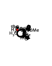 COc1cnc(O[C@@H]2C[C@H]3C(=O)N[C@]4(C(=O)NS(=O)(=O)C5(CF)CC5)C[C@H]4CCCCC(C)C[C@@H](C)[C@H](NC(=O)OC(C)(C)C)C(=O)N3C2)c2ccccc12